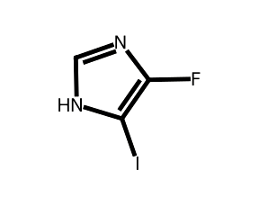 Fc1nc[nH]c1I